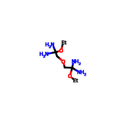 CCOC(N)(N)COCC(N)(N)OCC